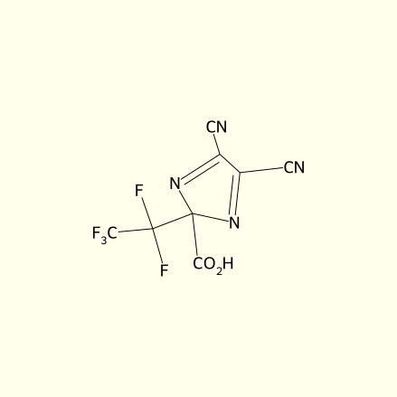 N#CC1=NC(C(=O)O)(C(F)(F)C(F)(F)F)N=C1C#N